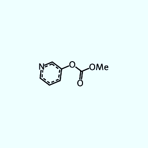 COC(=O)Oc1cccnc1